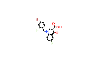 O=C(O)c1cn(Cc2ccc(Br)cc2F)c2ccc(F)cc2c1=O